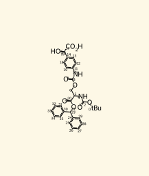 CC(C)(C)OC(=O)NC(COC(=O)Nc1ccc([C@@H](O)C(=O)O)cc1)C(=O)OC(c1ccccc1)c1ccccc1